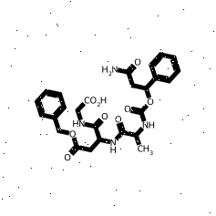 CC(NC(=O)OC(CC(N)=O)c1ccccc1)C(=O)NC(CC(=O)OCc1ccccc1)C(=O)NCC(=O)O